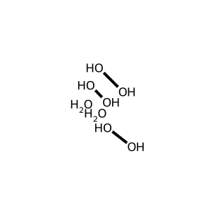 O.O.OO.OO.OO